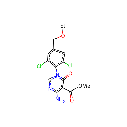 CCOCc1cc(Cl)c(-n2cnc(N)c(C(=O)OC)c2=O)c(Cl)c1